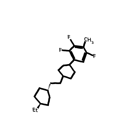 CC[C@H]1CC[C@H](CCC2CCC(c3cc(F)c(C)c(F)c3F)CC2)CC1